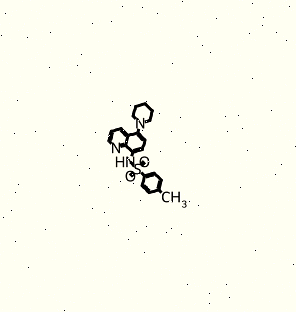 Cc1ccc(S(=O)(=O)Nc2ccc(N3CCCCC3)c3cccnc23)cc1